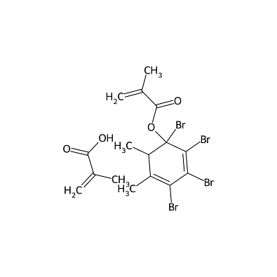 C=C(C)C(=O)O.C=C(C)C(=O)OC1(Br)C(Br)=C(Br)C(Br)=C(C)C1C